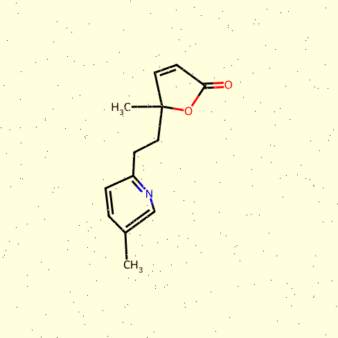 Cc1ccc(CCC2(C)C=CC(=O)O2)nc1